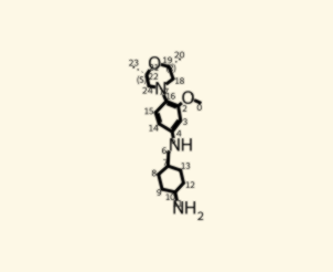 COc1cc(NCC2CCC(N)CC2)ccc1N1C[C@@H](C)O[C@@H](C)C1